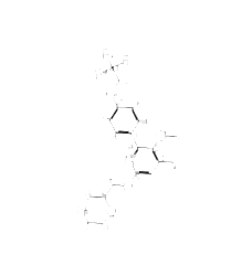 COc1c(C)cc(OCC2COCCO2)nc1-c1ccc(OCC(F)(F)F)cc1